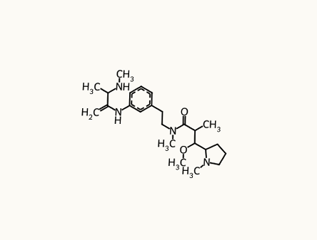 C=C(Nc1cccc(CCN(C)C(=O)C(C)C(OC)C2CCCN2C)c1)C(C)NC